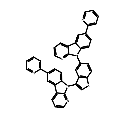 c1ccc(-c2ccc3c(c2)c2cccnc2n3-c2ccc3scc(-n4c5ccc(-c6ccccn6)cc5c5cccnc54)c3c2)nc1